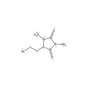 CC(=O)CCC1C(=O)N(P)C(=O)N1P